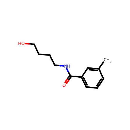 Cc1cccc(C(=O)NCCCCO)c1